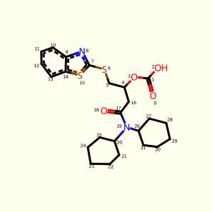 O=C(O)OC(CSc1nc2ccccc2s1)CC(=O)N(C1CCCCC1)C1CCCCC1